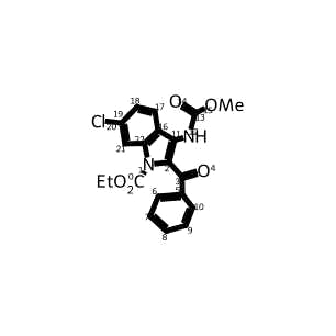 CCOC(=O)n1c(C(=O)c2ccccc2)c(NC(=O)OC)c2ccc(Cl)cc21